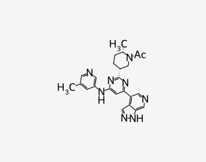 CC(=O)N1C[C@H](c2nc(Nc3cncc(C)c3)cc(-c3cncc4[nH]ncc34)n2)CC[C@@H]1C